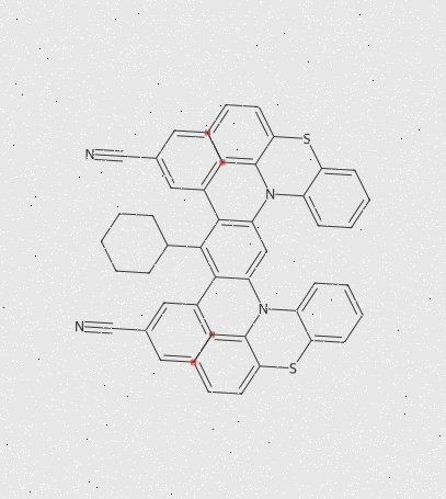 N#Cc1cccc(-c2c(N3c4ccccc4Sc4ccccc43)cc(N3c4ccccc4Sc4ccccc43)c(-c3cccc(C#N)c3)c2C2CCCCC2)c1